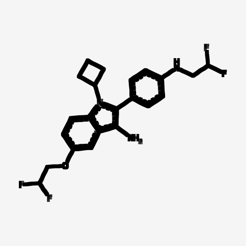 Nc1c(-c2ccc(NCC(F)F)cc2)n(C2CCC2)c2ccc(OCC(F)F)cc12